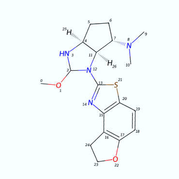 COC1N[C@H]2CC[C@H](N(C)C)[C@H]2N1c1nc2c3c(ccc2s1)OCC3